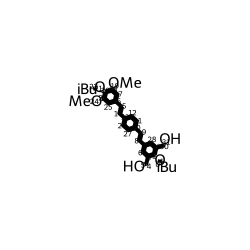 CCC(C)Oc1c(CO)cc(/C=C/c2ccc(/C=C/c3cc(OC)c(OC(C)CC)c(OC)c3)cc2)cc1CO